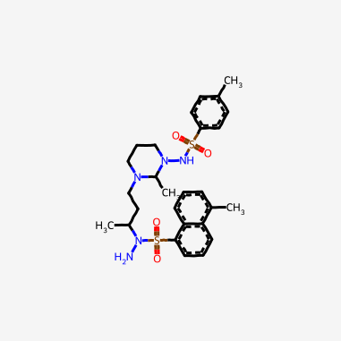 Cc1ccc(S(=O)(=O)NN2CCCN(CCC(C)N(N)S(=O)(=O)c3cccc4c(C)cccc34)C2C)cc1